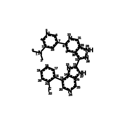 CN(C)c1cncc(-c2cc3c(-c4nc5c(-c6ccccc6F)cncc5[nH]4)n[nH]c3cn2)c1